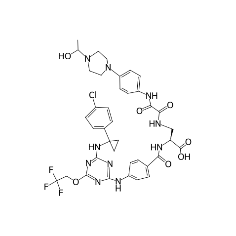 CC(O)N1CCN(c2ccc(NC(=O)C(=O)NC[C@H](NC(=O)c3ccc(Nc4nc(NC5(c6ccc(Cl)cc6)CC5)nc(OCC(F)(F)F)n4)cc3)C(=O)O)cc2)CC1